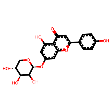 O=c1cc(-c2ccc(O)cc2)oc2cc(O[C@@H]3OC[C@@H](O)[C@H](O)C3O)cc(O)c12